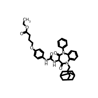 CCOC(=O)CCCOc1ccc(NC(=O)NC2C(=O)N(CC34CC5CC(CC(C5)C3)C4)c3ccccc3N(c3ccccc3)C2=O)cc1